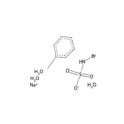 Cc1ccccc1.O.O.O.O=S(=O)([O-])NBr.[Na+]